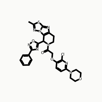 Cc1nn2c3c(nc2s1)CCN(C(=O)COc1ccc(N2CCOCC2)nc1Cl)C3c1nc(-c2ccccc2)no1